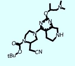 CC(CN(C)C)Oc1nc2c(c(N3CCN(C(=O)OC(C)(C)C)C(CC#N)C3)n1)CCNC2